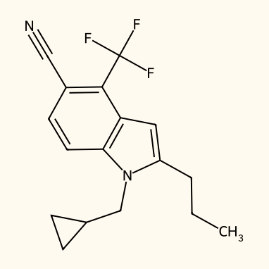 CCCc1cc2c(C(F)(F)F)c(C#N)ccc2n1CC1CC1